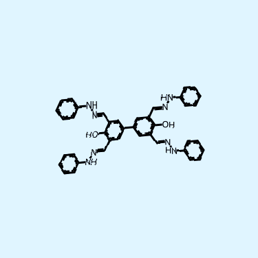 Oc1c(/C=N/Nc2ccccc2)cc(-c2cc(/C=N/Nc3ccccc3)c(O)c(/C=N/Nc3ccccc3)c2)cc1/C=N/Nc1ccccc1